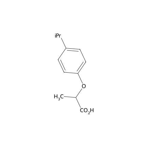 CC(Oc1ccc(C(C)C)cc1)C(=O)O